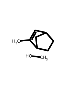 CC1=CC2CCC1C2.CO